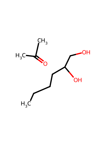 CC(C)=O.CCCCC(O)CO